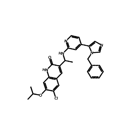 CC(C)Oc1cc2[nH]c(=O)c(C(C)Nc3cc(-c4cncn4Cc4ccccc4)ccn3)cc2cc1Cl